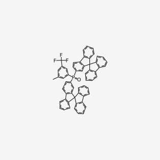 Cc1cc(C(F)(F)F)cc(P(=O)(c2ccc3c(c2)C2(c4ccccc4-c4ccccc42)c2ccccc2-3)c2ccc3c(c2)C2(c4ccccc4-c4ccccc42)c2ccccc2-3)c1